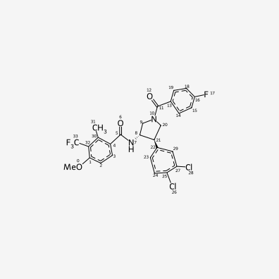 COc1ccc(C(=O)N[C@@H]2CN(C(=O)c3ccc(F)cc3)C[C@H]2c2ccc(Cl)c(Cl)c2)c(C)c1C(F)(F)F